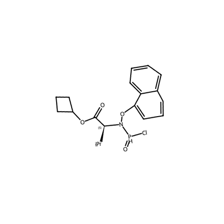 CC(C)[C@@H](C(=O)OC1CCC1)N(Oc1cccc2ccccc12)[PH](=O)Cl